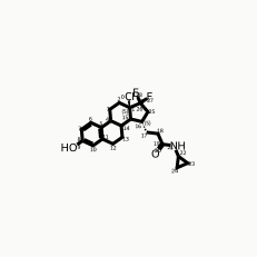 C[C@]12CCC3c4ccc(O)cc4CCC3C1[C@@H](CCC(=O)NC1CC1)CC2(F)F